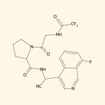 N#CC(NC(=O)C1CCCN1C(=O)CNC(=O)C(F)(F)F)c1cncc2c(F)cccc12